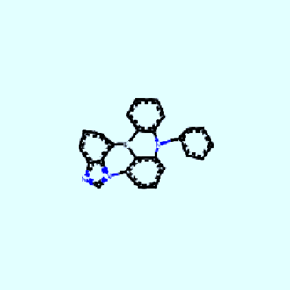 c1ccc(N2c3ccccc3B3c4c2cccc4-n2cnc4cccc3c42)cc1